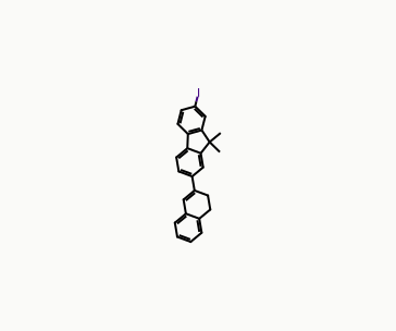 CC1(C)c2cc(I)ccc2-c2ccc(C3=Cc4ccccc4CC3)cc21